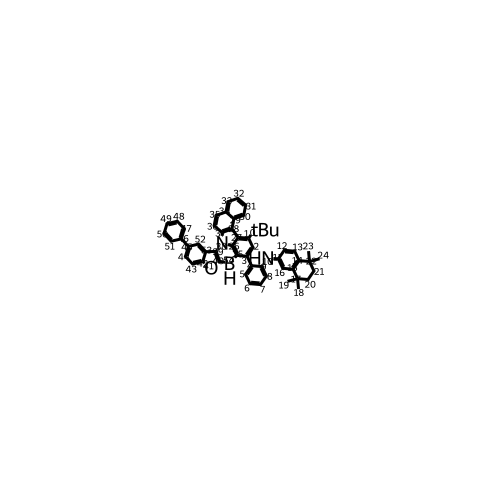 CC(C)(C)c1cc(-c2ccccc2Nc2ccc3c(c2)C(C)(C)CCC3(C)C)c2c3c1c1c4ccccc4ccc1n3-c1c(oc3ccc(-c4ccccc4)cc13)B2